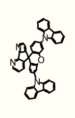 c1cnc2c(c1)C1(c3ccc(-n4c5ccccc5c5ccccc54)cc3Oc3cc(-n4c5ccccc5c5ccccc54)ccc31)c1cccnc1-2